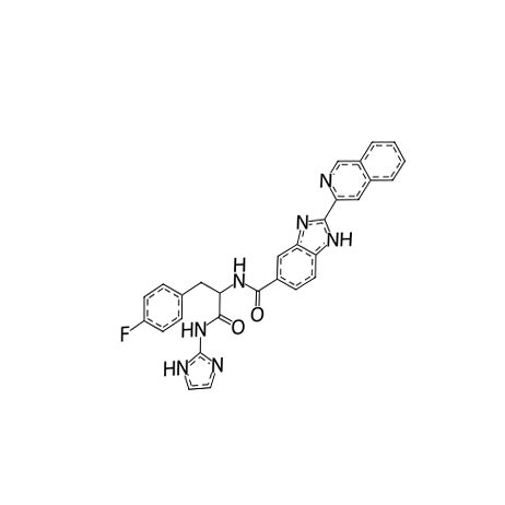 O=C(NC(Cc1ccc(F)cc1)C(=O)Nc1ncc[nH]1)c1ccc2[nH]c(-c3cc4ccccc4cn3)nc2c1